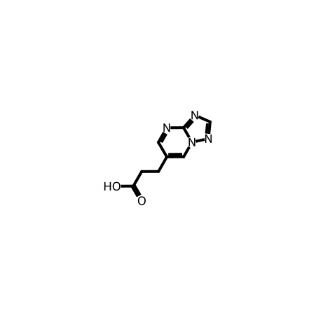 O=C(O)CCc1cnc2ncnn2c1